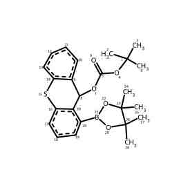 CC(C)(C)OC(=O)OC1c2ccccc2Sc2cccc(B3OC(C)(C)C(C)(C)O3)c21